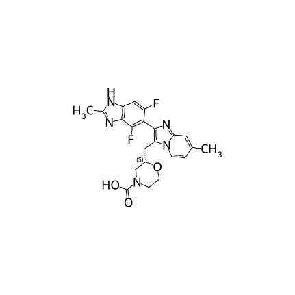 Cc1ccn2c(C[C@H]3CN(C(=O)O)CCO3)c(-c3c(F)cc4[nH]c(C)nc4c3F)nc2c1